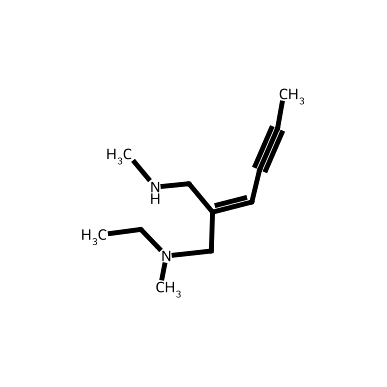 CC#C/C=C(\CNC)CN(C)CC